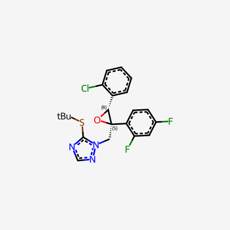 CC(C)(C)Sc1ncnn1C[C@]1(c2ccc(F)cc2F)O[C@@H]1c1ccccc1Cl